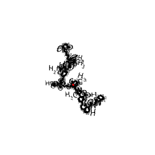 Cc1c(-c2ccc(N3CCc4cccc(C(=O)Nc5nc6ccccc6s5)c4C3)nc2C(=O)O)cnn1CC12CC3(C)CC(C)(C1)CC(OCCNC(=O)[C@H](CS(=O)(=O)O)NC(=O)OCc1ccc(N(C(=O)[C@@H](NC(=O)CCCCCN4C(=O)C=CC4=O)C(C)C)[C@@H](C)C(N)=O)cc1)(C3)C2